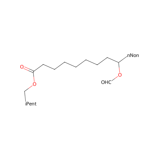 CCCCCCCCCC(CCCCCCCC(=O)OCC(C)CCC)OC=O